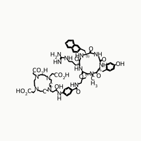 CN1C(=O)[C@@H](Cc2ccc(O)cc2)NC(=O)CNC(=O)[C@H](Cc2ccc3ccccc3c2)NC(=O)[C@H](CCCNC(=N)N)NC(=O)[C@H]1CCCNC(=O)c1ccc(NC(O)CN2CCN(CC(=O)O)CCN(CC(=O)O)CCN(CC(=O)O)CC2)cc1